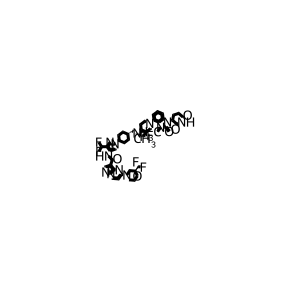 CN(C[C@H]1CC[C@H](n2cc(NC(=O)c3cnn4ccc(N5CCO[C@H](C(F)F)C5)nc34)c(C(F)F)n2)CC1)C1CCN(c2cccc3c2n(C)c(=O)n3C2CCC(=O)NC2=O)CC1(F)F